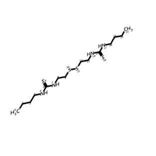 CCCCNC(=S)NCCSSCCNC(=S)NCCCC